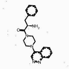 N[C@H](Cc1ccccc1)C(=O)N1CCN(c2cnnc3ccccc23)CC1